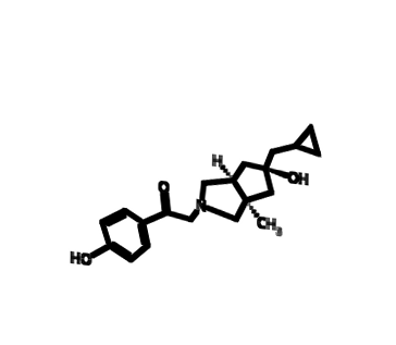 C[C@]12CN(CC(=O)c3ccc(O)cc3)C[C@H]1C[C@](O)(CC1CC1)C2